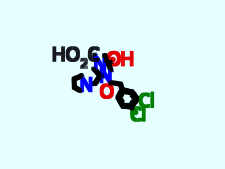 CC1(O)CN(C(=O)Cc2ccc(Cl)c(Cl)c2)C(CN2CCCC2)CN1C(=O)O